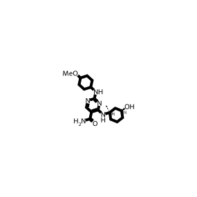 COC1CCC(Nc2ncc(C(N)=O)c(N[C@]3(C)CCC[C@H](O)C3)n2)CC1